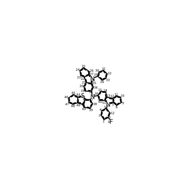 Fc1cccc(-n2c3ccccc3c3ccc(N(c4ccc5c6ccccc6n(-c6ccccc6)c5c4)c4cccc5c4sc4ccccc45)cc32)c1